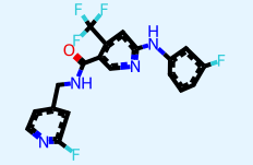 O=C(NCc1ccnc(F)c1)c1cnc(Nc2cccc(F)c2)cc1C(F)(F)F